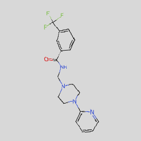 O=C(NCN1CCN(c2ccccn2)CC1)c1cccc(C(F)(F)F)c1